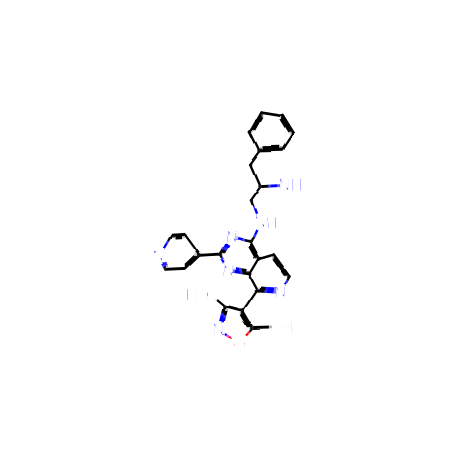 Cc1noc(C)c1-c1nccc2c(NCC(N)Cc3ccccc3)nc(-c3ccncc3)nc12